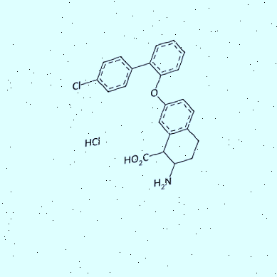 Cl.NC1CCc2ccc(Oc3ccccc3-c3ccc(Cl)cc3)cc2C1C(=O)O